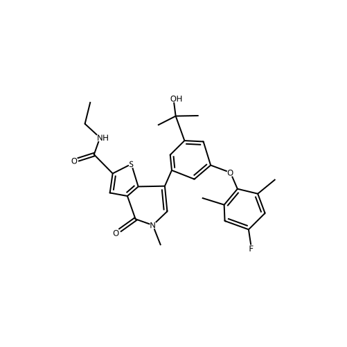 CCNC(=O)c1cc2c(=O)n(C)cc(-c3cc(Oc4c(C)cc(F)cc4C)cc(C(C)(C)O)c3)c2s1